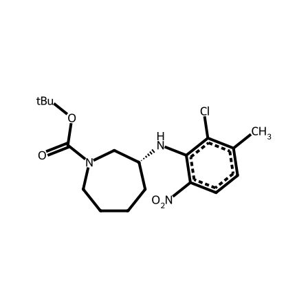 Cc1ccc([N+](=O)[O-])c(N[C@@H]2CCCCN(C(=O)OC(C)(C)C)C2)c1Cl